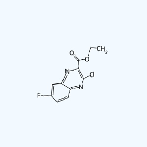 CCOC(=O)c1nc2cc(F)ccc2nc1Cl